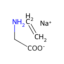 C=C.NCC(=O)[O-].[Na+]